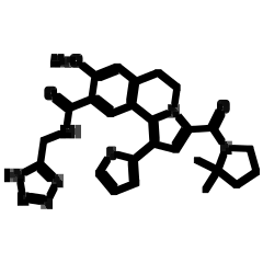 COc1cc2c(cc1C(=O)NCc1nnn[nH]1)-c1c(-c3cccs3)cc(C(=O)N3CCCC3(C)C)n1CC2